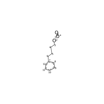 O=[O+]OCCCCc1ccccc1